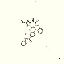 O=C(Nc1ccccn1)c1ccc(CN2C(=O)c3sc(C4CC4)nc3NC(=O)C2Cc2ccccn2)cc1Cl